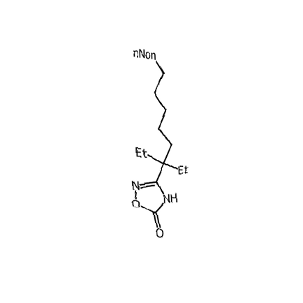 CCCCCCCCCCCCCCC(CC)(CC)c1noc(=O)[nH]1